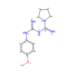 COc1ccc(NC(=N)NC(=N)N2CCCC2)cc1